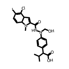 CC(C)C(C(=O)O)c1ccc(N(CO)NC(=O)C2=CC3C(Cl)=C(I)C=CC3N2C)cc1